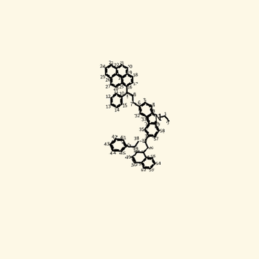 CCn1c2ccc(CCC(c3ccccc3)c3ccc4ccc5cccc6ccc3c4c56)cc2c2cc([C@@H](CCc3ccccc3)CC3CC=Cc4ccccc43)ccc21